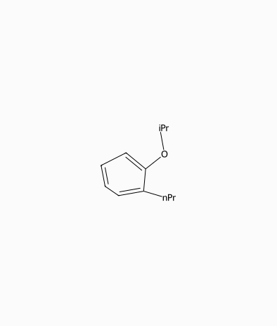 [CH2]CCc1ccccc1OC(C)C